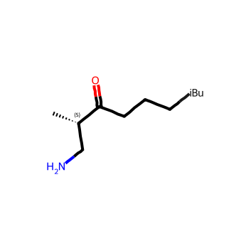 CCC(C)CCCC(=O)[C@@H](C)CN